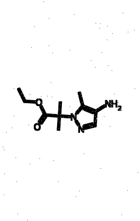 CCOC(=O)C(C)(C)n1ncc(N)c1C